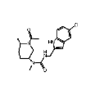 CC(=O)N1C[C@@H](N(C)C(=O)NCc2cc3cc(Cl)ccc3[nH]2)CC[C@H]1C